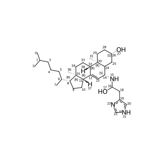 CC(C)CCCC(C)[C@H]1CC[C@H]2C3=C[C@@H](NC(O)Cc4c[nH]cn4)C4C[C@@H](O)CC[C@]4(C)[C@H]3CC[C@]12C